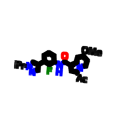 COc1ccn2c(C(C)=O)cc(C(=O)Nc3cccc(-c4cnn(C(C)C)c4)c3F)c2c1